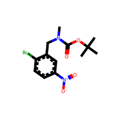 CN(Cc1cc([N+](=O)[O-])ccc1Br)C(=O)OC(C)(C)C